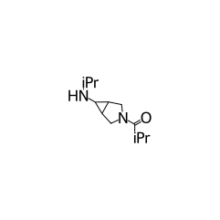 CC(C)NC1C2CN(C(=O)C(C)C)CC21